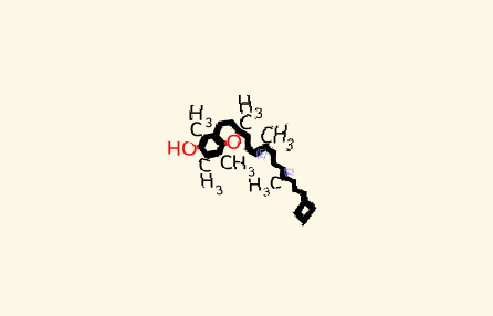 C/C(=C\CC/C(C)=C/CCC1(C)CCc2c(C)c(O)c(C)c(C)c2O1)CCC=C1CCC1